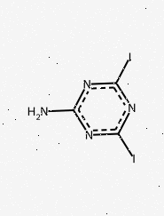 Nc1nc(I)nc(I)n1